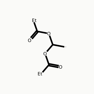 [CH2]C(OC(=O)CC)OC(=O)CC